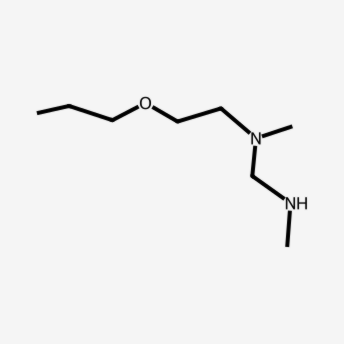 CCCOCCN(C)CNC